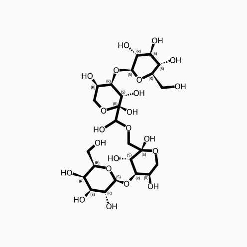 OC[C@H]1O[C@@H](O[C@@H]2[C@H](O)CO[C@@](O)(COC(O)[C@]3(O)OC[C@@H](O)[C@@H](O[C@@H]4O[C@H](CO)[C@@H](O)[C@H](O)[C@H]4O)[C@@H]3O)[C@H]2O)[C@H](O)[C@@H](O)[C@H]1O